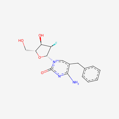 Nc1nc(=O)n([C@@H]2O[C@H](CO)[C@@H](O)[C@H]2F)cc1Cc1ccccc1